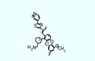 COc1cc(F)ccc1Oc1ccc(/C=C(\F)c2csc(-c3ccnnc3)n2)c(N2CCCC(CN)C2)c1Cl